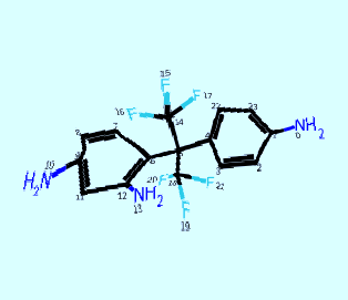 Nc1ccc(C(c2ccc(N)cc2N)(C(F)(F)F)C(F)(F)F)cc1